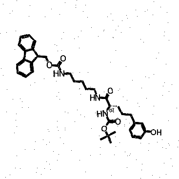 CC(C)(C)OC(=O)N[C@@H](CCCc1cccc(O)c1)C(=O)NCCCCCNC(=O)OCC1c2ccccc2-c2ccccc21